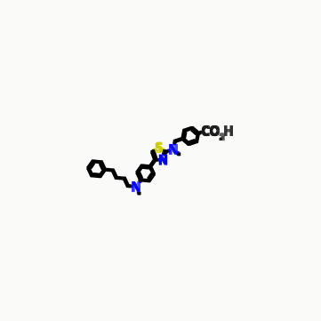 CN(CCCCc1ccccc1)c1ccc(-c2csc(N(C)Cc3ccc(C(=O)O)cc3)n2)cc1